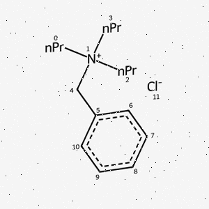 CCC[N+](CCC)(CCC)Cc1ccccc1.[Cl-]